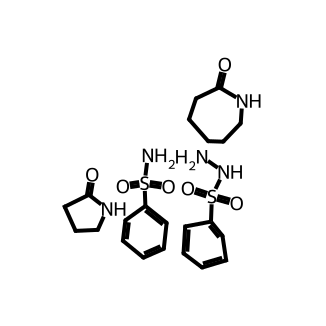 NNS(=O)(=O)c1ccccc1.NS(=O)(=O)c1ccccc1.O=C1CCCCCN1.O=C1CCCN1